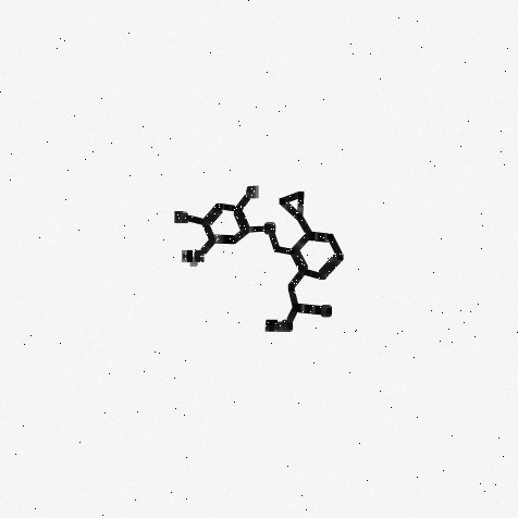 CCc1cc(Cl)c(OCc2c(CC(=O)OC)cccc2C2CC2)cc1C